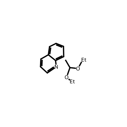 CCOC(C)OCC.c1ccc2ncccc2c1